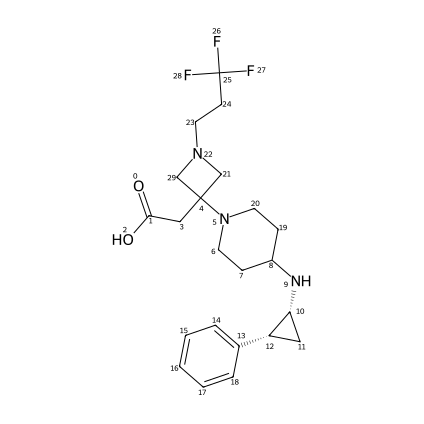 O=C(O)CC1(N2CCC(N[C@@H]3C[C@@H]3c3ccccc3)CC2)CN(CCC(F)(F)F)C1